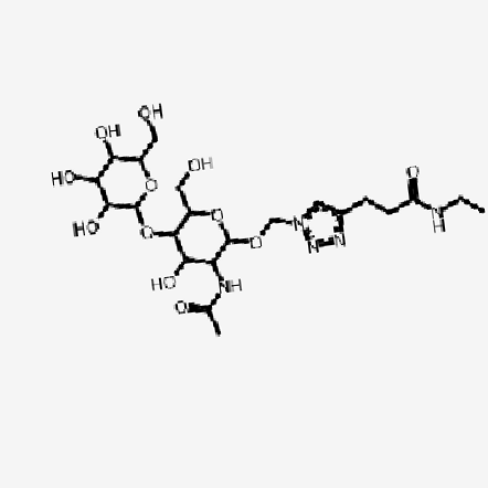 CCNC(=O)CCc1cn(COC2OC(CO)C(OC3OC(CO)C(O)C(O)C3O)C(O)C2NC(C)=O)nn1